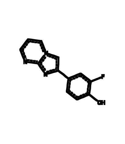 Oc1ccc(-c2cn3cccnc3n2)cc1F